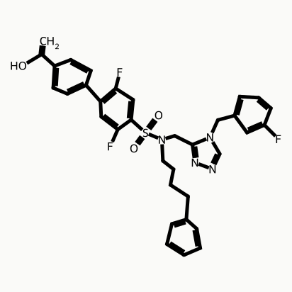 C=C(O)c1ccc(-c2cc(F)c(S(=O)(=O)N(CCCCc3ccccc3)Cc3nncn3Cc3cccc(F)c3)cc2F)cc1